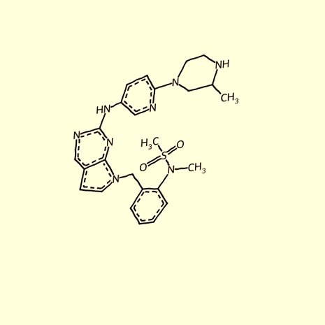 CC1CN(c2ccc(Nc3ncc4ccn(Cc5ccccc5N(C)S(C)(=O)=O)c4n3)cn2)CCN1